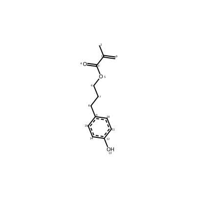 C=C(C)C(=O)OCCCc1ccc(O)cc1